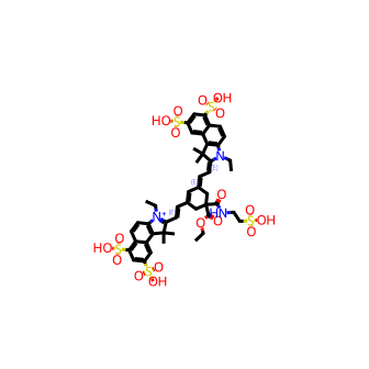 CCOC(=O)C1(C(=O)NCCS(=O)(=O)O)CC(/C=C/C2=[N+](CC)c3ccc4c(S(=O)(=O)O)cc(S(=O)(=O)O)cc4c3C2(C)C)=CC(=C/C=C2/N(CC)c3ccc4c(S(=O)(=O)O)cc(S(=O)(=O)O)cc4c3C2(C)C)/C1